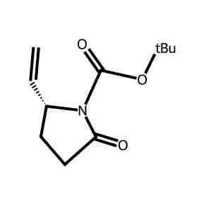 C=C[C@H]1CCC(=O)N1C(=O)OC(C)(C)C